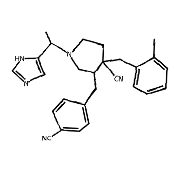 Cc1ccccc1CC1(C#N)CCN(C(C)c2cnc[nH]2)CC1Cc1ccc(C#N)cc1